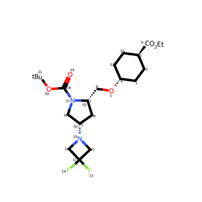 CCOC(=O)[C@H]1CC[C@H](OC[C@@H]2C[C@H](N3CC(F)(F)C3)CN2C(=O)OC(C)(C)C)CC1